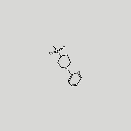 CS(=O)(=O)N1CCN(c2c[c]ccn2)CC1